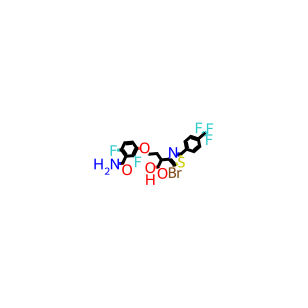 NC(=O)c1c(F)ccc(OCCC(C(=O)O)c2nc(-c3ccc(C(F)(F)F)cc3)sc2Br)c1F